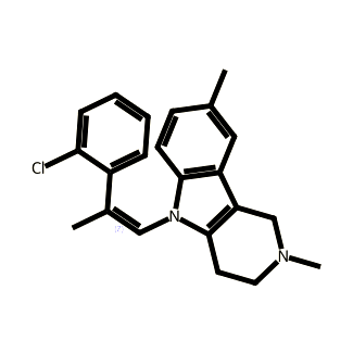 C/C(=C/n1c2c(c3cc(C)ccc31)CN(C)CC2)c1ccccc1Cl